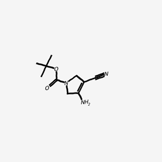 CC(C)(C)OC(=O)N1CC(N)=C(C#N)C1